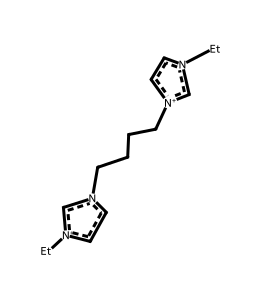 CCn1cc[n+](CCCCn2cc[n+](CC)c2)c1